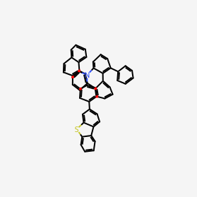 c1ccc(-c2ccccc2-c2c(-c3ccccc3)cccc2N(c2ccc(-c3ccc4c(c3)sc3ccccc34)cc2)c2cccc3ccccc23)cc1